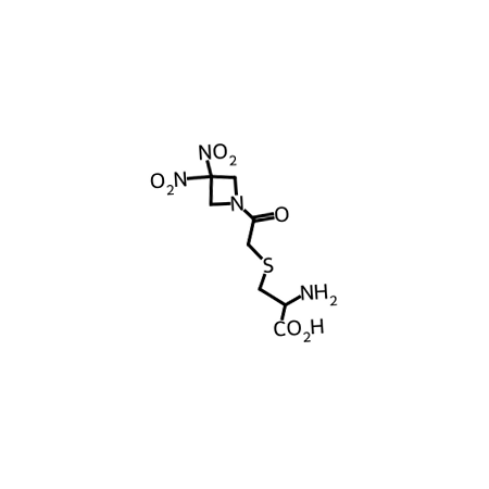 NC(CSCC(=O)N1CC([N+](=O)[O-])([N+](=O)[O-])C1)C(=O)O